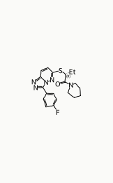 CC[C@@H](Sc1ccc2nnc(-c3ccc(F)cc3)n2n1)C(=O)N1CCCCC1